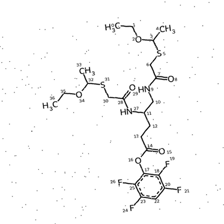 CCOC(C)SCC(=O)NCC(CCC(=O)Oc1c(F)c(F)cc(F)c1F)NC(=O)CSC(C)OCC